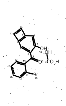 O=C(O)O.O=C(c1cc2c(cc1O)C=C2)c1ccccc1Br